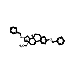 CC[C@]12CC=C3c4ccc(OCc5ccccc5)cc4CC[C@H]3[C@@H]1C[C@@H](OCc1ccccc1)C2